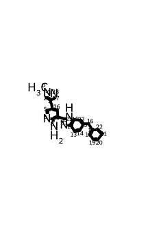 Cn1cc(-c2cnc(N)c(-c3nc4ccc(Cc5ccccc5)cc4[nH]3)c2)cn1